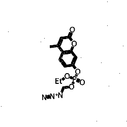 CCOP(=O)(OCN=[N+]=[N-])Oc1ccc2c(C)cc(=O)oc2c1